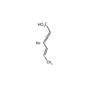 C/C=C/C=C/C(=O)O.[KH]